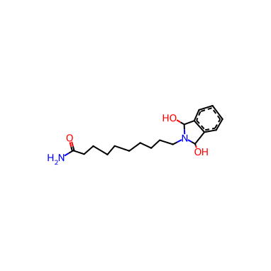 NC(=O)CCCCCCCCCN1C(O)c2ccccc2C1O